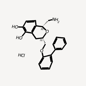 Cl.NC[C@@H]1O[C@H](COc2ccccc2-c2ccccc2)Cc2c1ccc(O)c2O